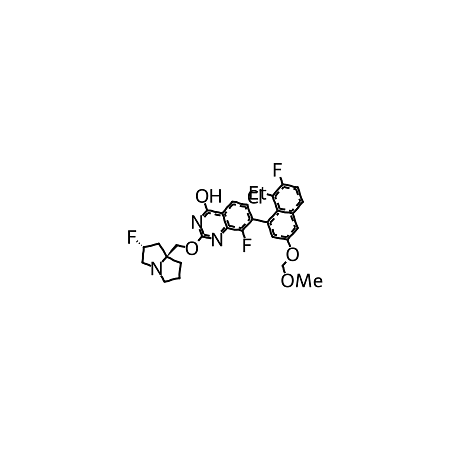 CCc1c(F)ccc2cc(OCOC)cc(-c3c(Cl)cc4c(O)nc(OC[C@@]56CCCN5C[C@H](F)C6)nc4c3F)c12